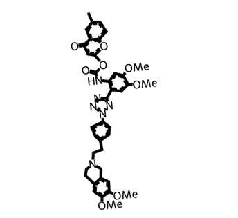 COc1cc2c(cc1OC)CN(CCc1ccc(-n3nnc(-c4cc(OC)c(OC)cc4NC(=O)Oc4cc(=O)c5cc(C)ccc5o4)n3)cc1)CC2